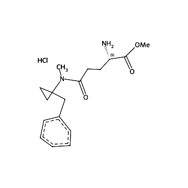 COC(=O)[C@@H](N)CCC(=O)N(C)C1(Cc2ccccc2)CC1.Cl